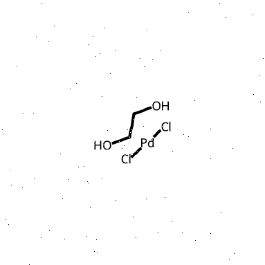 OCCO.[Cl][Pd][Cl]